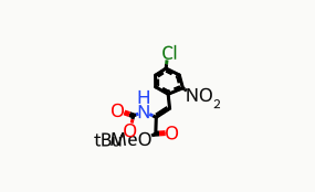 COC(=O)C(=Cc1ccc(Cl)cc1[N+](=O)[O-])NC(=O)OC(C)(C)C